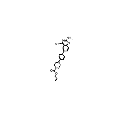 C=CCOC(=O)N1CCN(c2ccc(-c3ccc4nc(N)nc(CCC)c4n3)cc2)CC1